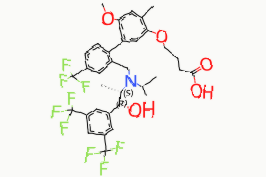 COc1cc(C)c(OCCCC(=O)O)cc1-c1ccc(C(F)(F)F)cc1CN(C(C)C)[C@@H](C)[C@H](O)c1cc(C(F)(F)F)cc(C(F)(F)F)c1